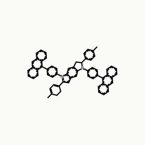 CC1=CC=C(c2cc3cc4c(cc3n2-c2ccc(-c3c5ccccc5cc5ccccc35)cc2)CC(c2ccc(C)cc2)N4c2ccc(-c3c4ccccc4cc4ccccc34)cc2)CC1